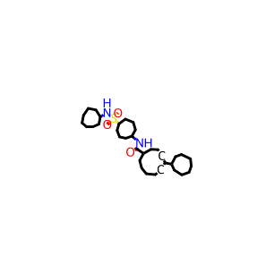 O=C(NC1CCCC(S(=O)(=O)NC2CCCCCCC2)CCC1)C1CCCCCC(C2CCCCCCC2)CCC1